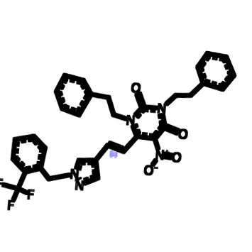 O=c1c([N+](=O)[O-])c(/C=C/c2cnn(Cc3ccccc3C(F)(F)F)c2)n(CCc2ccccc2)c(=O)n1CCc1ccccc1